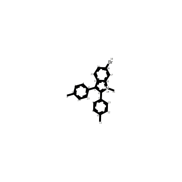 Cc1ccc(-c2c(-c3ccc(C)cc3)n(C)c3cc(Br)ccc23)cc1